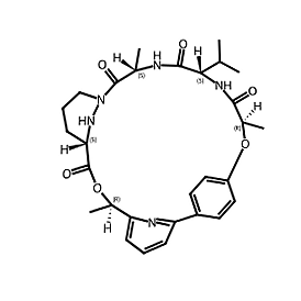 CC(C)[C@@H]1NC(=O)[C@@H](C)Oc2ccc(cc2)-c2cccc(n2)[C@@H](C)OC(=O)[C@@H]2CCCN(N2)C(=O)[C@H](C)NC1=O